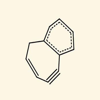 C1#Cc2ccccc2CC=C1